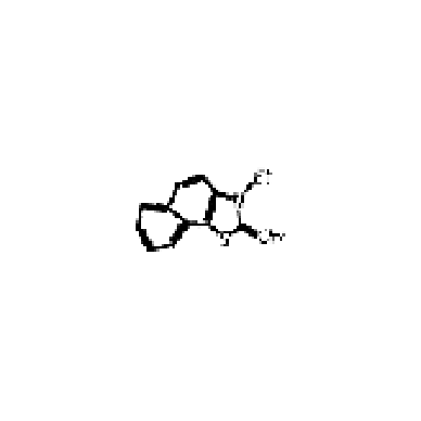 [CH]=C1Sc2c(ccc3ccccc23)N1CC